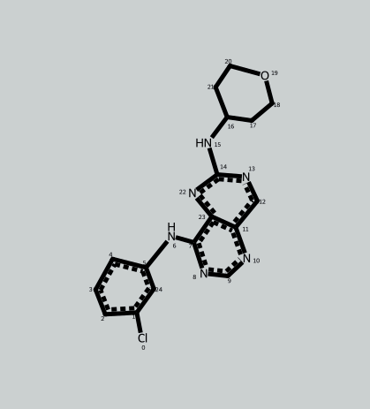 Clc1cccc(Nc2ncnc3cnc(NC4CCOCC4)nc23)c1